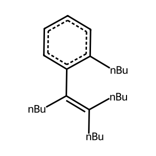 CCCCC(CCCC)=C(CCCC)c1ccccc1CCCC